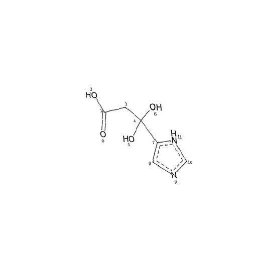 O=C(O)CC(O)(O)c1cnc[nH]1